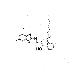 CCCCCOc1cc(N=Nc2nc3ccc(C)cc3s2)c(O)c2ccccc12